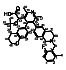 Cc1cccc(F)c1CN1CCc2cc(-c3c(C)nc(C)c(C(OC(C)(C)C)C(=O)O)c3-c3ccc4c(c3)CCCO4)ccc2C1